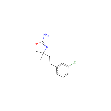 CC1(CCc2cccc(Cl)c2)COC(N)=N1